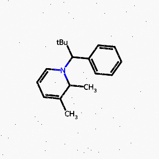 CC1=CC=CN(C(c2ccccc2)C(C)(C)C)C1C